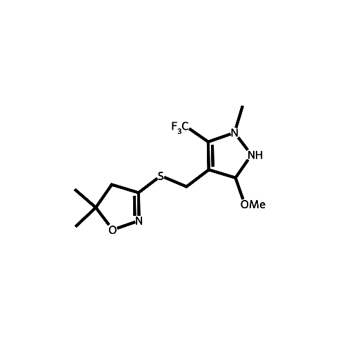 COC1NN(C)C(C(F)(F)F)=C1CSC1=NOC(C)(C)C1